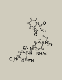 CCN(CCCN1C(=O)c2ccccc2C1=O)c1ccc(/N=N/c2c(C#N)cc([N+](=O)[O-])cc2C#N)c(NC(C)=O)c1